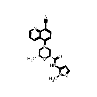 C[C@@H]1CN(c2ccc(C#N)c3ncccc23)C[C@H](C(=O)Nc2ccnn2C)O1